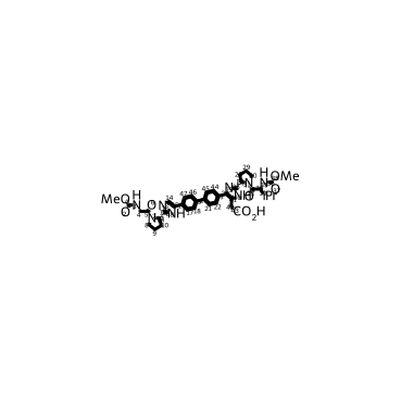 COC(=O)NCC(=O)N1CCC[C@H]1c1ncc(-c2ccc(-c3ccc(-c4nc([C@@H]5CCCN5C(=O)C(NC(=O)OC)C(C)C)[nH]c4CC(=O)O)cc3)cc2)[nH]1